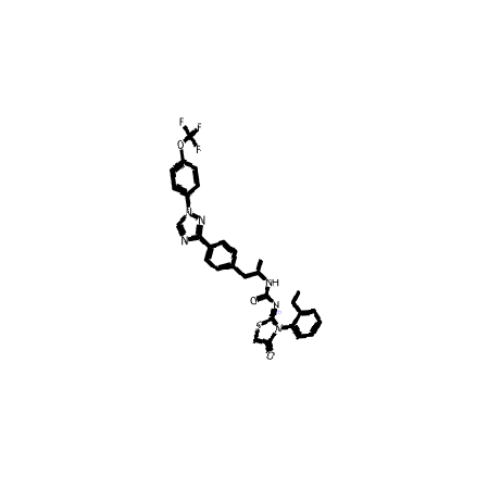 CCc1ccccc1N1C(=O)CS/C1=N\C(=O)NC(C)Cc1ccc(-c2ncn(-c3ccc(OC(F)(F)F)cc3)n2)cc1